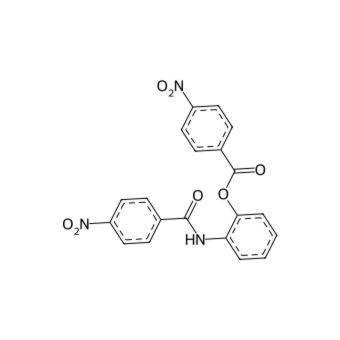 O=C(Nc1ccccc1OC(=O)c1ccc([N+](=O)[O-])cc1)c1ccc([N+](=O)[O-])cc1